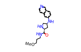 COCCCNC(=O)[C@@H]1C[C@H](Nc2ccc3cnccc3c2)CN1